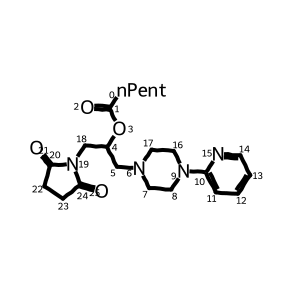 CCCCCC(=O)OC(CN1CCN(c2ccccn2)CC1)CN1C(=O)CCC1=O